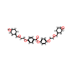 O=C(Oc1ccc(OCCOCC2CCC3OC3C2)cc1)c1ccc(OCCOCC2CCC3OC3C2)cc1